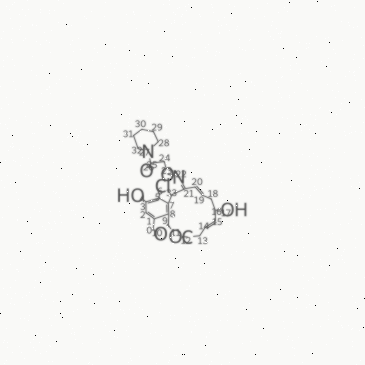 Cc1cc(O)c(Cl)c2c1C(=O)OCC/C=C/C(O)C/C=C/C(=N/OCC(=O)N1CCCCC1)C2